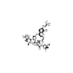 CC[C@@H]1C[C@]1(NC(=O)[C@@H]1C[C@@H](Oc2cc(CCOC)nc3c(Cl)c(OCC(OC)OC)ccc23)CN1C(=O)[C@@H](NC(=O)O[C@@H]1C[C@@H]2C[C@@H]2C1)C(C)(C)C)C(=O)OC